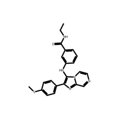 CCNC(=O)c1cccc(Nc2c(-c3ccc(SC)cc3)nc3cnccn23)c1